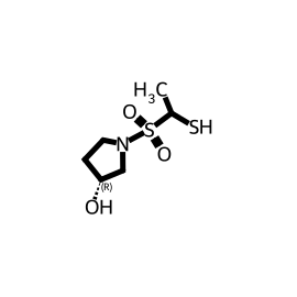 CC(S)S(=O)(=O)N1CC[C@@H](O)C1